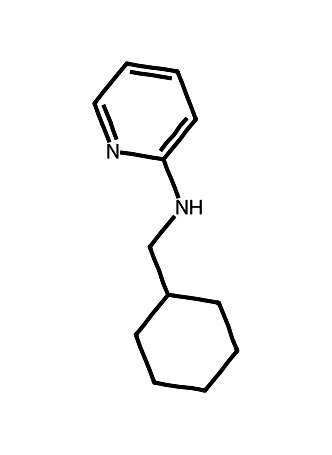 c1ccc(NCC2CCCCC2)nc1